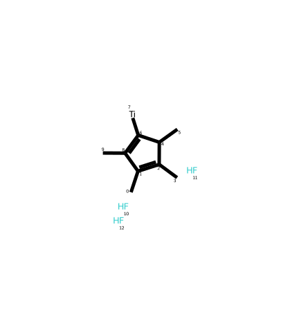 CC1=C(C)C(C)[C]([Ti])=C1C.F.F.F